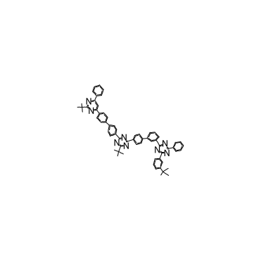 CC(C)(C)c1cccc(-c2nc(-c3ccccc3)nc(-c3cccc(-c4ccc(-c5nc(-c6ccc(-c7ccc(-c8cc(-c9ccccc9)nc(C(C)(C)C)n8)cc7)cc6)nc(C(C)(C)C)n5)cc4)c3)n2)c1